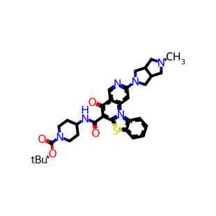 CN1CC2CN(c3cc4c(cn3)c(=O)c(C(=O)NC3CCN(C(=O)OC(C)(C)C)CC3)c3sc5ccccc5n34)CC2C1